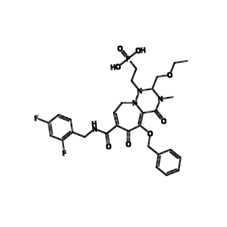 CCOCC1N(C)C(=O)C2=C(OCc3ccccc3)C(=O)C(C(=O)NCc3ccc(F)cc3F)=CCN2N1CCP(=O)(O)O